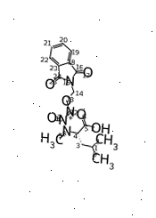 CC(C)C[C@@H](C(=O)O)N(C)[N+]([O-])=NOCN1C(=O)c2ccccc2C1=O